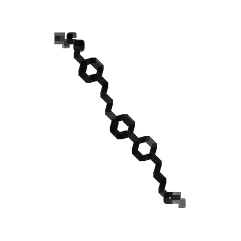 CCC=CCC1CCC(c2ccc(CCCCc3ccc(COC)cc3)cc2)CC1